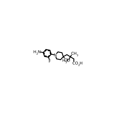 CC(C)(CC(=O)O)CC1(O)CCN(c2ccc(N)cc2F)CC1